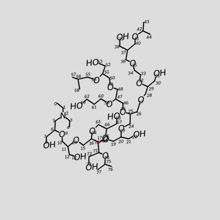 CCN(CC)CC(CO)OCC(CO)OCC(COCC(CO)OCC(COCC(CO)OCCOCC(CO)COC(C)C)OCC(COCC(CO)OCC(C)C)OCCCO)OCC(CO)OCC(CO)OC(C)C